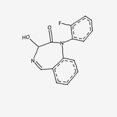 O=C1C(O)N=Cc2ccccc2N1c1ccccc1F